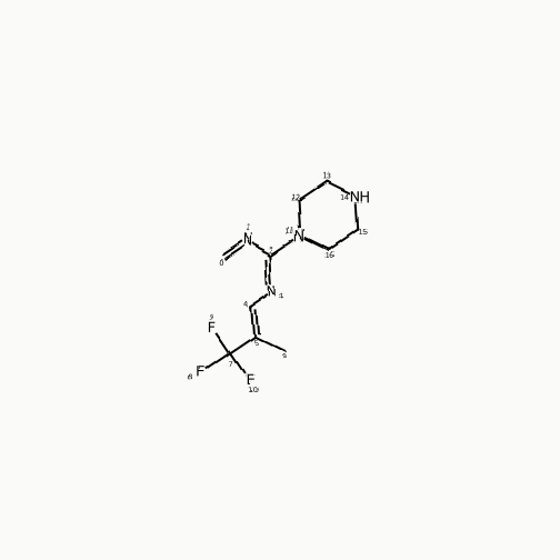 C=N/C(=N\C=C(/C)C(F)(F)F)N1CCNCC1